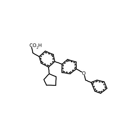 O=C(O)Cc1ccc(-c2ccc(OCc3ccccc3)cc2)c(C2CCCC2)c1